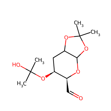 CC(C)(O)O[C@H]1CC2OC(C)(C)OC2O[C@H]1C=O